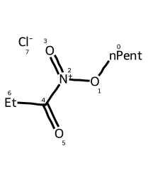 CCCCCO[N+](=O)C(=O)CC.[Cl-]